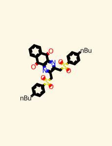 CCCCc1ccc(S(=O)(=O)Cc2nc3c(nc2CS(=O)(=O)c2ccc(CCCC)cc2)C(=O)c2ccccc2C3=O)cc1